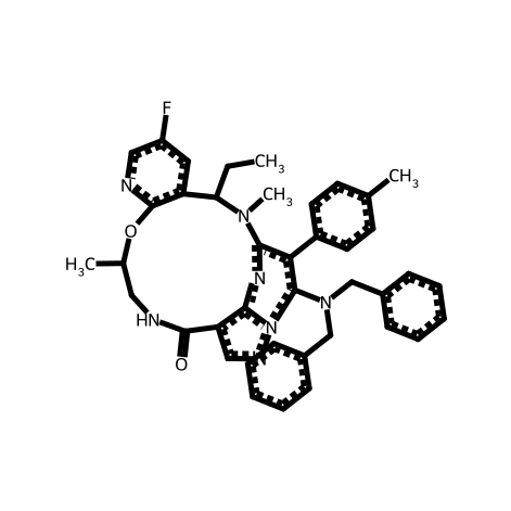 CCC1c2cc(F)cnc2OC(C)CNC(=O)c2cnn3c(N(Cc4ccccc4)Cc4ccccc4)c(-c4ccc(C)cc4)c(nc23)N1C